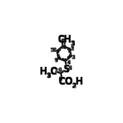 Cc1ccc(SC(C)C(=O)O)cc1